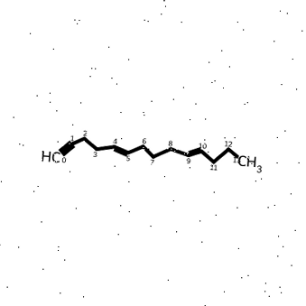 C#CCC/C=C/CCC/C=C/CCC